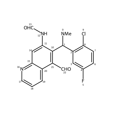 CNC(c1cc(F)ccc1Cl)c1c(NC=O)cc2ncccc2c1C=O